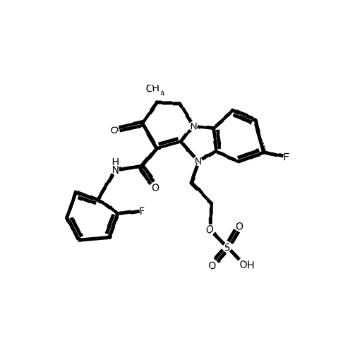 C.O=C1CCN2C(=C1C(=O)Nc1ccccc1F)N(CCOS(=O)(=O)O)c1cc(F)ccc12